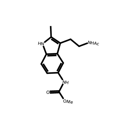 COC(=O)Nc1ccc2[nH]c(C)c(CCNC(C)=O)c2c1